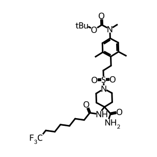 Cc1cc(N(C)C(=O)OC(C)(C)C)cc(C)c1CCS(=O)(=O)N1CCC(NC(=O)CCCCCCC(F)(F)F)(C(N)=O)CC1